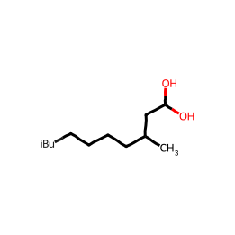 CCC(C)CCCCC(C)CC(O)O